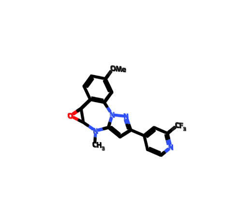 COc1ccc2c(c1)-n1nc(-c3ccnc(C(F)(F)F)c3)cc1N(C)C1OC21